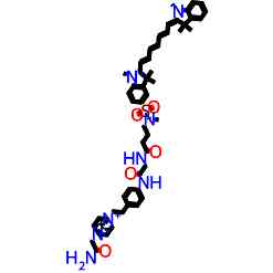 CN1/C(=C/C=C/C=C/C=C/C2=[N+](C)c3ccc(S(=O)(=O)N(C)CCCC(=O)NCC(=O)Nc4ccc(CC[N+]56CC[N+](CC(N)=O)(CC5)CC6)cc4)cc3C2(C)C)C(C)(C)c2ccccc21